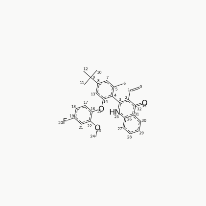 C=Cc1c(-c2c(C)cc(C(C)(C)C)cc2Oc2ccc(F)cc2OC)[nH]c2ccccc2c1=O